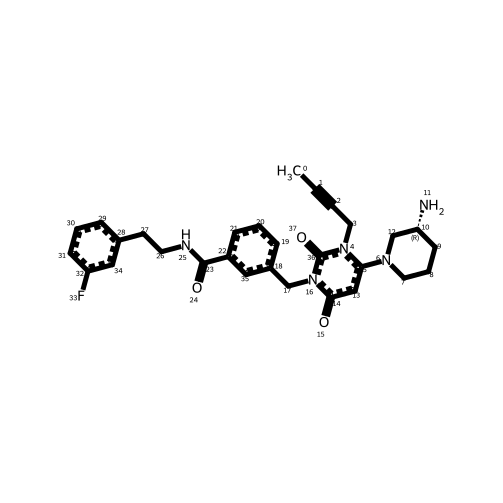 CC#CCn1c(N2CCC[C@@H](N)C2)cc(=O)n(Cc2cccc(C(=O)NCCc3cccc(F)c3)c2)c1=O